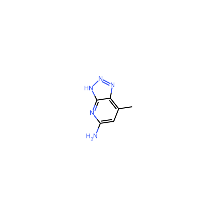 Cc1cc(N)nc2[nH]nnc12